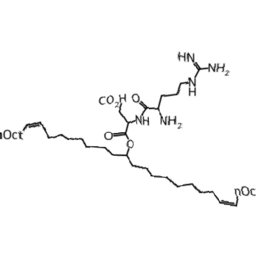 CCCCCCCC/C=C\CCCCCCCCC(CCCCCCC/C=C\CCCCCCCC)OC(=O)C(CC(=O)O)NC(=O)C(N)CCCNC(=N)N